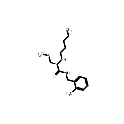 [CH2]SC[C@@H](NCCCCC)C(=O)NCc1ccccc1C